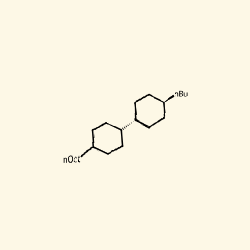 CCCCCCCCC1CCC([C@H]2CC[C@H](CCCC)CC2)CC1